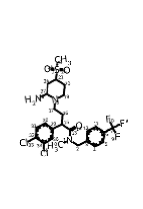 CN(Cc1ccc(C(F)(F)F)cc1)C(=O)C(CCN1CCC(S(C)(=O)=O)CC1N)c1ccc(Cl)c(Cl)c1